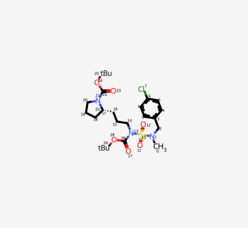 CN(Cc1ccc(Cl)cc1)S(=O)(=O)N(CCC[C@@H]1CCCN1C(=O)OC(C)(C)C)C(=O)OC(C)(C)C